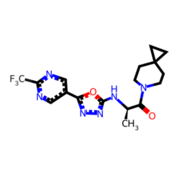 C[C@@H](Nc1nnc(-c2cnc(C(F)(F)F)nc2)o1)C(=O)N1CCC2(CC1)CC2